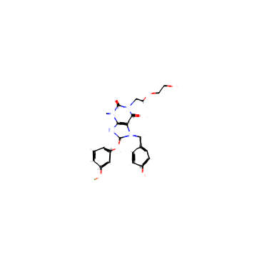 Cn1c2c(c(=O)n(CCOCCO)c1=O)N(Cc1ccc(O)cc1)C(Oc1cccc(OF)c1)N2